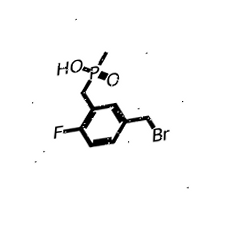 CP(=O)(O)Cc1cc(CBr)ccc1F